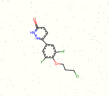 O=c1ccc(-c2cc(F)c(OCCCCl)c(F)c2)n[nH]1